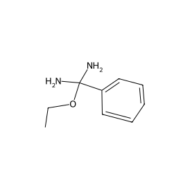 CCOC(N)(N)c1ccccc1